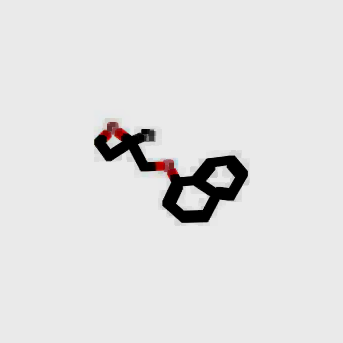 CCC1(COc2cccc3ccccc23)CCO1